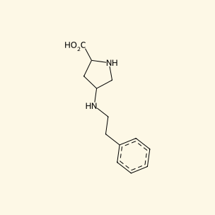 O=C(O)C1CC(NCCc2ccccc2)CN1